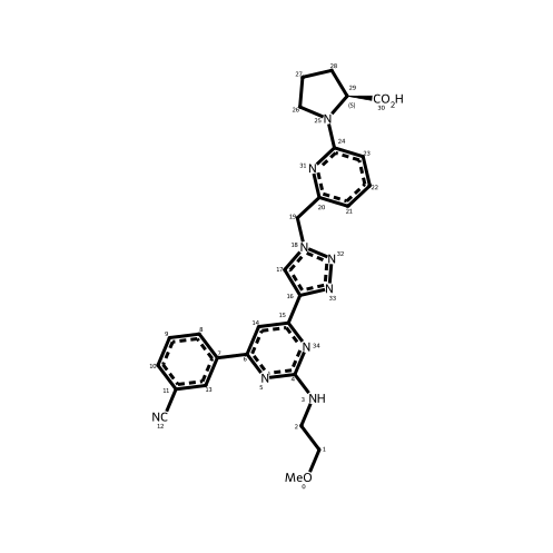 COCCNc1nc(-c2cccc(C#N)c2)cc(-c2cn(Cc3cccc(N4CCC[C@H]4C(=O)O)n3)nn2)n1